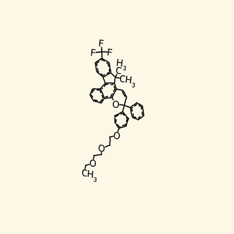 CCOCCOCCOc1ccc(C2(c3ccccc3)C=Cc3c4c(c5ccccc5c3O2)-c2ccc(C(F)(F)F)cc2C4(C)C)cc1